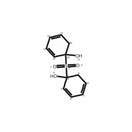 O=S(=O)(C1(O)C=CC=CC1)C1(O)C=CC=CC1